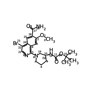 COc1cc2c(N3CCC[C@H](NC(=O)OC(C)(C)C)C3)ncc(Br)c2cc1C(N)=O